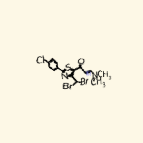 CN(C)/C=C/C(=O)c1sc(-c2ccc(Cl)cc2)nc1C(Br)Br